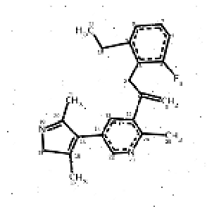 C=C(Cc1c(F)cccc1CC)c1cc(C2=C(C)CN=C2C)cnc1C